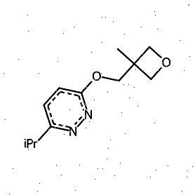 CC(C)c1ccc(OCC2(C)COC2)nn1